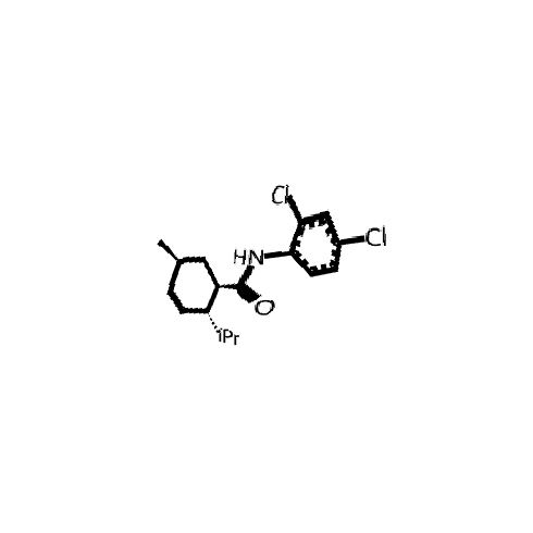 CC(C)[C@@H]1CC[C@@H](C)C[C@H]1C(=O)Nc1ccc(Cl)cc1Cl